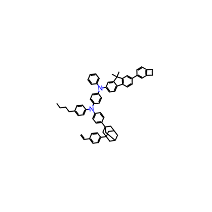 C=Cc1ccc(C23CC4CC(C2)CC(c2ccc(N(c5ccc(CCCC)cc5)c5ccc(N(c6ccccc6)c6ccc7c(c6)C(C)(C)c6cc(-c8ccc9c(c8)CC9)ccc6-7)cc5)cc2)(C4)C3)cc1